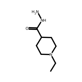 CCN1CCC(C(=O)NN)CC1